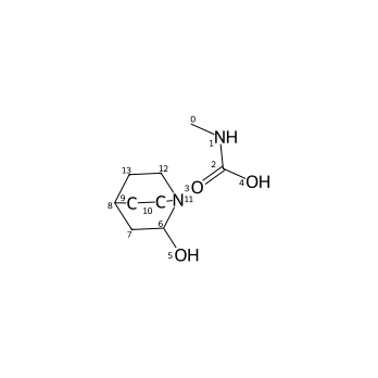 CNC(=O)O.OC1CC2CCN1CC2